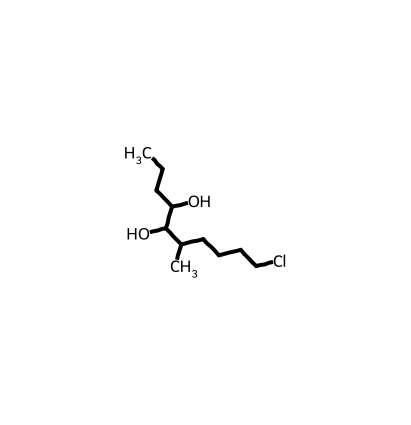 CCCC(O)C(O)C(C)CCCCCl